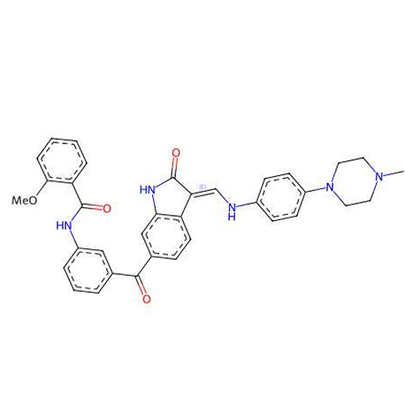 COc1ccccc1C(=O)Nc1cccc(C(=O)c2ccc3c(c2)NC(=O)/C3=C/Nc2ccc(N3CCN(C)CC3)cc2)c1